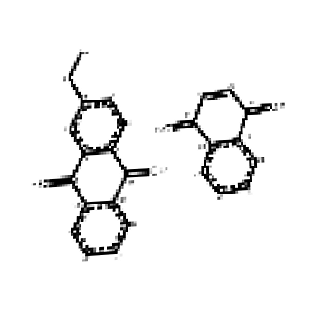 CCc1ccc2c(c1)C(=O)c1ccccc1C2=O.O=C1C=CC(=O)c2ccccc21